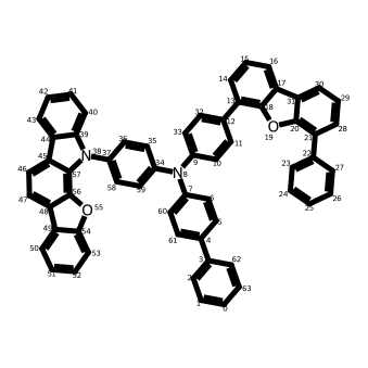 c1ccc(-c2ccc(N(c3ccc(-c4cccc5c4oc4c(-c6ccccc6)cccc45)cc3)c3ccc(-n4c5ccccc5c5ccc6c7ccccc7oc6c54)cc3)cc2)cc1